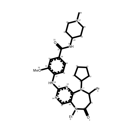 CCN1C(=O)CC(C(C)C)N(C2CCCC2)c2nc(Nc3ccc(C(=O)NC4CCN(C)CC4)cc3OC)ncc21